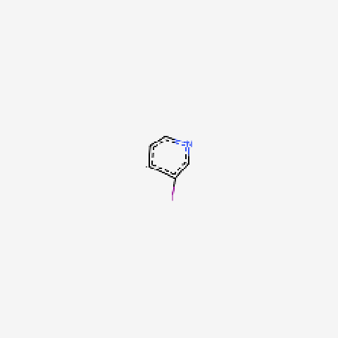 Ic1[c]ccnc1